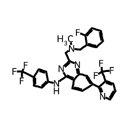 CN(Cc1nc(Nc2ccc(C(F)(F)F)cc2)c2ccc(-c3ncccc3C(F)(F)F)cc2n1)Cc1ccccc1F